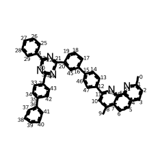 Cc1ccc2ccc3c(C)cc(-c4ccc(-c5cccc(-c6nc(-c7ccccc7)nc(-c7ccc(-c8ccccc8)cc7)n6)c5)cc4)nc3c2n1